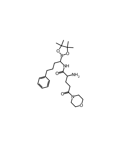 CC1(C)OB(C(CCCc2ccccc2)NC(=O)C(N)CCC(=O)N2CCOCC2)OC1(C)C